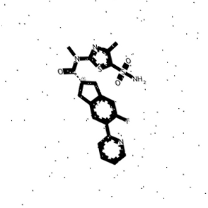 Cc1nc(N(C)C(=O)[C@@H]2Cc3cc(F)c(-c4ccccn4)cc3C2)sc1S(N)(=O)=O